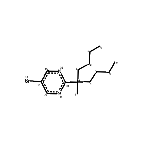 CCCCC(C)(CCCC)c1ncc(Br)cn1